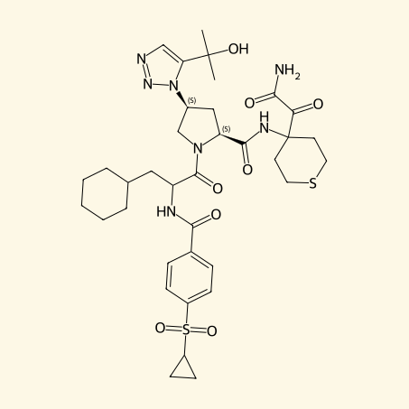 CC(C)(O)c1cnnn1[C@H]1C[C@@H](C(=O)NC2(C(=O)C(N)=O)CCSCC2)N(C(=O)C(CC2CCCCC2)NC(=O)c2ccc(S(=O)(=O)C3CC3)cc2)C1